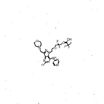 FC(F)(F)COCCn1nc(CN2CCOCC2)c2nc(Cl)nc(Nc3ccncn3)c21.O=C(O)C(F)(F)F